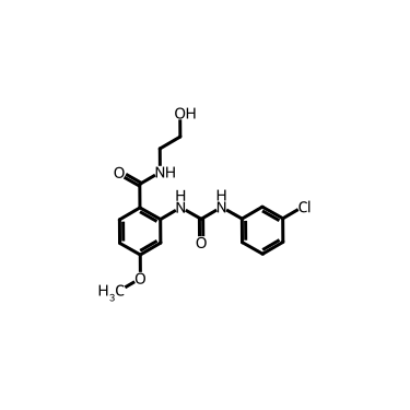 COc1ccc(C(=O)NCCO)c(NC(=O)Nc2cccc(Cl)c2)c1